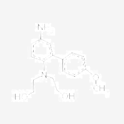 COc1ccc(-c2cc(N)ccc2N(CCO)CCO)cc1